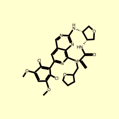 C=CC(=O)N[C@H]1COC[C@H]1Nc1ncc2cc(-c3c(Cl)c(OC)cc(OC)c3Cl)nc(NCC3CCCO3)c2n1